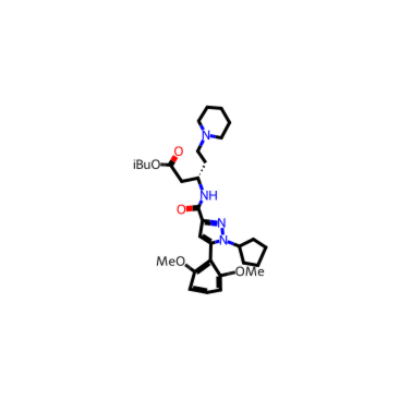 COc1cccc(OC)c1-c1cc(C(=O)N[C@@H](CCN2CCCCC2)CC(=O)OCC(C)C)nn1C1CCCC1